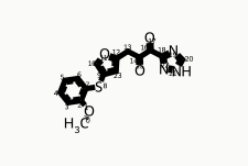 COc1ccccc1Sc1coc(CC(=O)C(=O)c2nc[nH]n2)c1